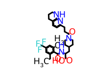 CCc1cc(C(F)(F)F)cc(C)c1C(=O)NC(CC1CCN(C(=O)CCc2ccc3c(n2)NCCC3)CC1)C(=O)O